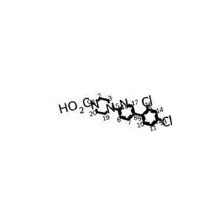 O=C(O)N1CCN(c2ccc(-c3ccc(Cl)cc3Cl)cn2)CC1